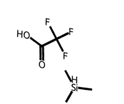 C[SiH](C)C.O=C(O)C(F)(F)F